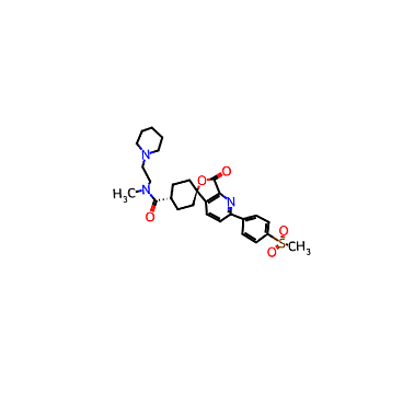 CN(CCN1CCCCC1)C(=O)[C@H]1CC[C@@]2(CC1)OC(=O)c1nc(-c3ccc(S(C)(=O)=O)cc3)ccc12